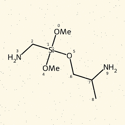 CO[Si](CN)(OC)OCC(C)N